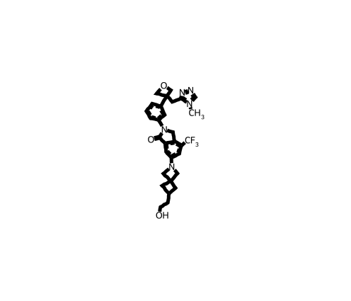 Cn1cnnc1CC1(c2cccc(N3Cc4c(cc(N5CC6(CC(CCO)C6)C5)cc4C(F)(F)F)C3=O)c2)COC1